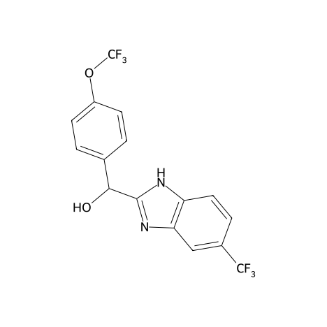 OC(c1ccc(OC(F)(F)F)cc1)c1nc2cc(C(F)(F)F)ccc2[nH]1